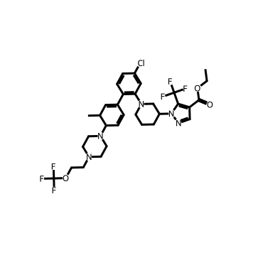 CCOC(=O)c1cnn(C2CCCN(c3cc(Cl)ccc3C3=CC(C)C(N4CCN(CCOC(F)(F)F)CC4)C=C3)C2)c1C(F)(F)F